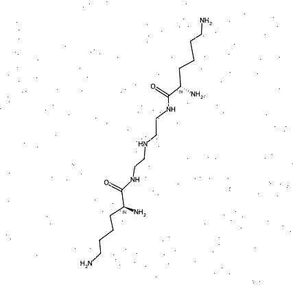 NCCCC[C@H](N)C(=O)NCCNCCNC(=O)[C@@H](N)CCCCN